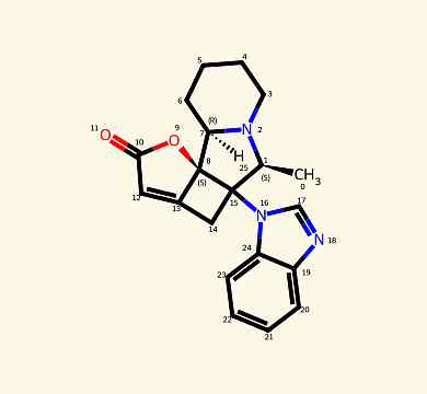 C[C@@H]1N2CCCC[C@@H]2[C@@]23OC(=O)C=C2CC13n1cnc2ccccc21